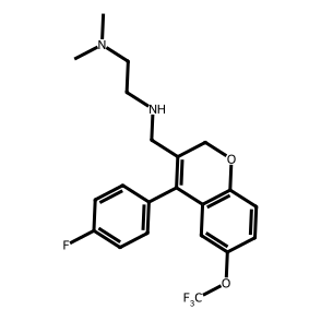 CN(C)CCNCC1=C(c2ccc(F)cc2)c2cc(OC(F)(F)F)ccc2OC1